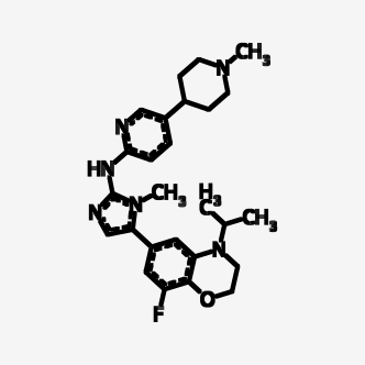 CC(C)N1CCOc2c(F)cc(-c3cnc(Nc4ccc(C5CCN(C)CC5)cn4)n3C)cc21